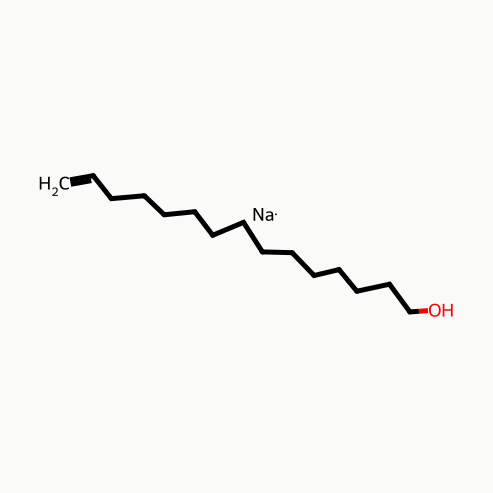 C=CCCCCCCCCCCCCCO.[Na]